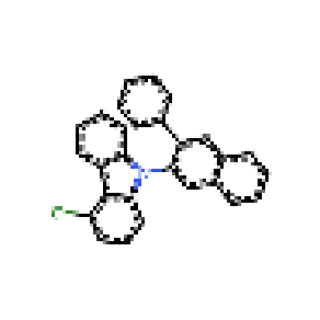 Clc1cccc2c1c1ccccc1n2-c1cc2ccccc2cc1-c1ccccc1